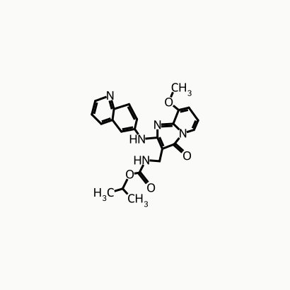 COc1cccn2c(=O)c(CNC(=O)OC(C)C)c(Nc3ccc4ncccc4c3)nc12